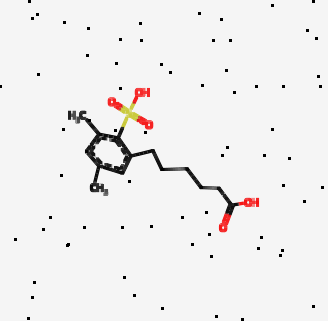 Cc1cc(C)c(S(=O)(=O)O)c(CCCCCC(=O)O)c1